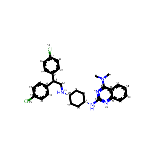 CN(C)c1nc(N[C@H]2CC[C@@H](NCC(c3ccc(Cl)cc3)c3ccc(Cl)cc3)CC2)nc2ccccc12